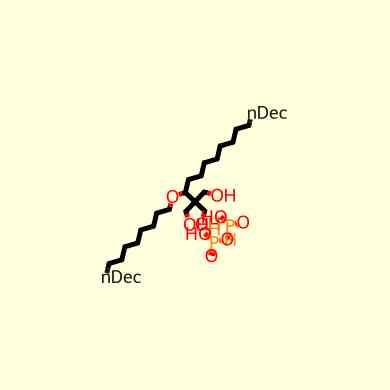 CCCCCCCCCCCCCCCCCCOC(CCCCCCCCCCCCCCCCCC)C(CO)(CO)CO.O=[PH](O)O[PH](=O)O